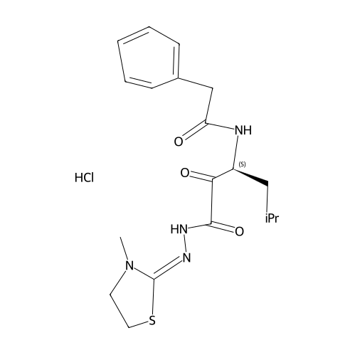 CC(C)C[C@H](NC(=O)Cc1ccccc1)C(=O)C(=O)NN=C1SCCN1C.Cl